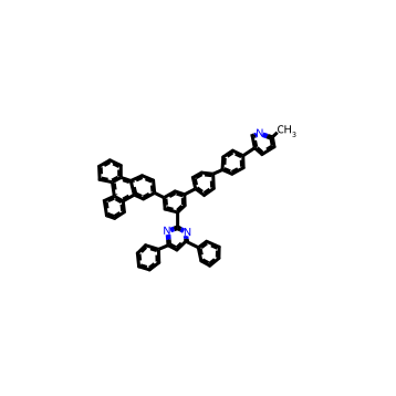 Cc1ccc(-c2ccc(-c3ccc(-c4cc(-c5ccc6c7ccccc7c7ccccc7c6c5)cc(-c5nc(-c6ccccc6)cc(-c6ccccc6)n5)c4)cc3)cc2)cn1